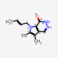 C/C=C/Cn1c(CC)c(C)c2cn[nH]c(=O)c21